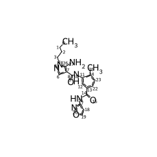 CCCCn1ncc(C(=O)Nc2cc(C(=O)Nc3ccon3)ccc2C)c1N